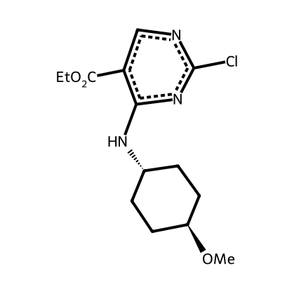 CCOC(=O)c1cnc(Cl)nc1N[C@H]1CC[C@H](OC)CC1